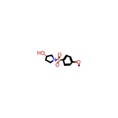 COc1ccc(S(=O)(=O)N2CC[C@H](O)C2)cc1